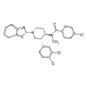 CN(C(=O)c1ccc(Cl)cc1)[C@@H]1CCN(c2nc3ccccc3s2)C[C@H]1c1ccc(Cl)c(Cl)c1